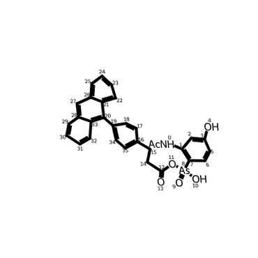 CC(=O)Nc1cc(O)ccc1[As](=O)(O)OC(=O)CCc1ccc(-c2c3ccccc3cc3ccccc23)cc1